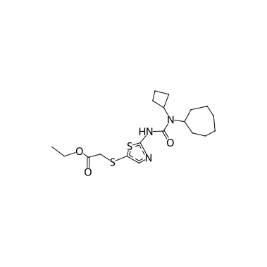 CCOC(=O)CSc1cnc(NC(=O)N(C2CCCCCC2)C2CCC2)s1